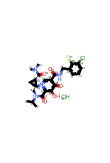 CC(C)N1C[C@@]2(C[C@@H]2C(=O)N(C)C)n2cc(C(=O)NCc3cccc(Cl)c3F)c(=O)c(O)c2C1=O.Cl